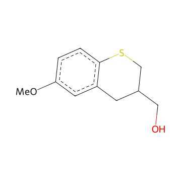 COc1ccc2c(c1)CC(CO)CS2